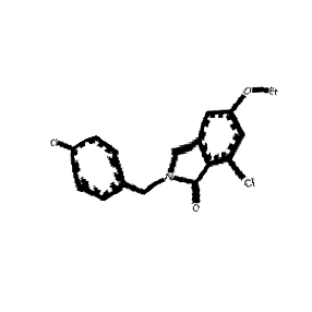 CCOc1cc(Cl)c2c(c1)CN(Cc1ccc(Cl)cc1)C2=O